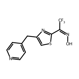 O/N=C(\c1nc(Cc2ccncc2)cs1)C(F)(F)F